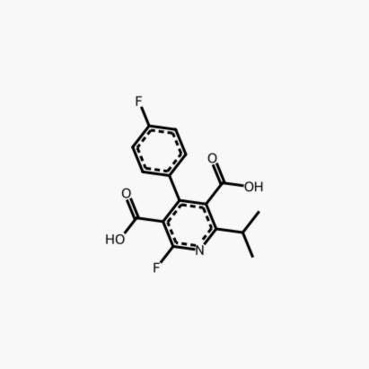 CC(C)c1nc(F)c(C(=O)O)c(-c2ccc(F)cc2)c1C(=O)O